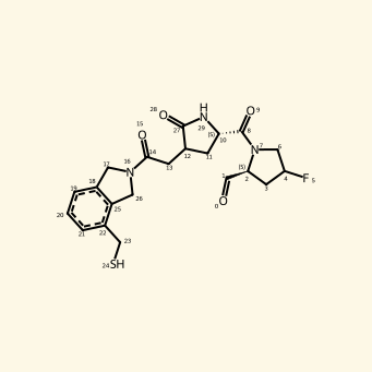 O=C[C@@H]1CC(F)CN1C(=O)[C@@H]1CC(CC(=O)N2Cc3cccc(CS)c3C2)C(=O)N1